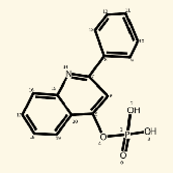 O=P(O)(O)Oc1cc(-c2ccccc2)nc2ccccc12